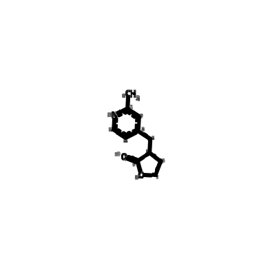 Cc1cc(CC2CCOC2=O)ccn1